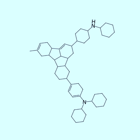 CC1=CCC2C3=CC(C4CCC(NC5CCCCC5)CC4)CC4C5CC(C6=CC=C(N(C7CCCCC7)C7CCCCC7)CC6)CCC5C(C2C1)C34